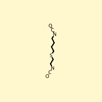 O=C=NCCCCSCCN=C=O